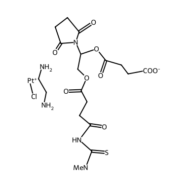 CNC(=S)NC(=O)CCC(=O)OCC(OC(=O)CCC(=O)[O-])N1C(=O)CCC1=O.NCCN.[Cl][Pt+]